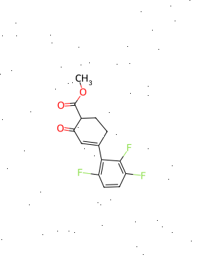 COC(=O)C1CCC(c2c(F)ccc(F)c2F)=CC1=O